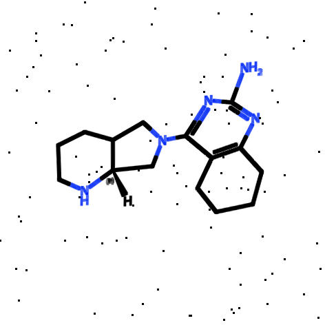 Nc1nc2c(c(N3CC4CCCN[C@H]4C3)n1)CCCC2